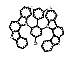 N#Cc1cc(C#N)cc(-c2c(-n3c4ccccc4c4ccc5sc6ccccc6c5c43)cc(C#N)cc2-n2c3ccccc3c3ccc4sc5ccccc5c4c32)c1